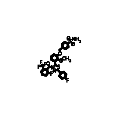 COc1c(OCc2ccc(S(N)(=O)=O)cc2)cccc1C1SC(c2ccc(F)cc2)=NN1C(=O)c1c(F)cccc1C(F)(F)F